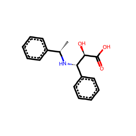 C[C@H](N[C@@H](c1ccccc1)[C@@H](O)C(=O)O)c1ccccc1